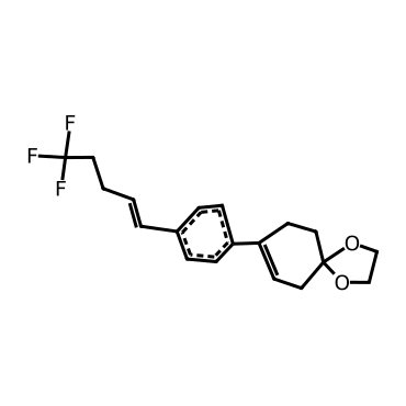 FC(F)(F)CC/C=C/c1ccc(C2=CCC3(CC2)OCCO3)cc1